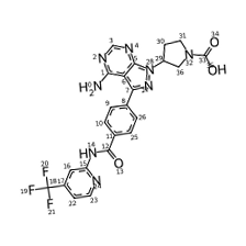 Nc1ncnc2c1c(-c1ccc(C(=O)Nc3cc(C(F)(F)F)ccn3)cc1)nn2C1CCN(C(=O)O)C1